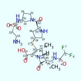 C[C@@H](NC(=O)C(F)F)[C@H]1C(=O)N2C(C(=O)O)=C(S[C@@H]3CN[C@H](C(=O)N4CC[C@H](NS(=O)(=O)CCN)C4)C3)[C@H](C)[C@H]12